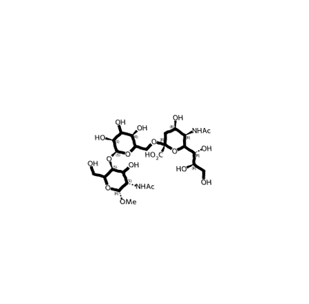 CO[C@@H]1OC(CO)[C@@H](O[C@@H]2OC(CO[C@]3(C(=O)O)C[C@@H](O)[C@@H](NC(C)=O)C([C@H](O)[C@H](O)CO)O3)[C@H](O)C(O)[C@@H]2O)C(O)[C@@H]1NC(C)=O